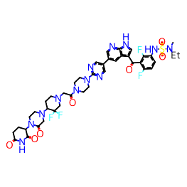 CCN(C)S(=O)(=O)Nc1ccc(F)c(C(=O)c2c[nH]c3ncc(-c4cnc(N5CCN(C(=O)CN6CCC(N7CCN(C8CCC(=O)NC8=O)C(=O)C7)C(F)(F)C6)CC5)nc4)cc23)c1F